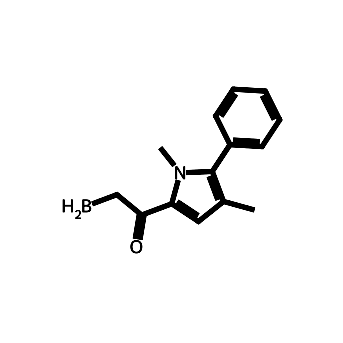 BCC(=O)c1cc(C)c(-c2ccccc2)n1C